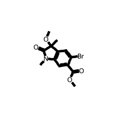 COC(=O)c1cc2c(cc1Br)C(C)(OC)C(=O)N2C